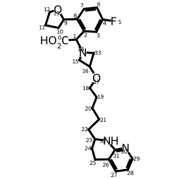 O=C(O)C(c1cc(F)ccc1C1CCCO1)N1CC(OCCCCCC2CCc3cccnc3N2)C1